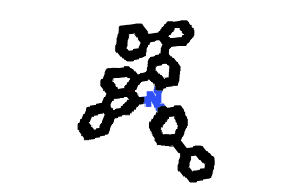 c1ccc(-c2ccc(N(c3ccc4ccccc4c3)c3ccc(-c4ccccc4-c4ccccc4)cc3-c3ccccc3)cc2)cc1